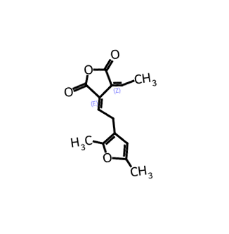 C/C=C1\C(=O)OC(=O)\C1=C\Cc1cc(C)oc1C